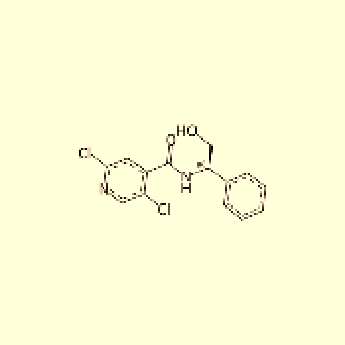 O=C(N[C@@H](CO)c1ccccc1)c1cc(Cl)ncc1Cl